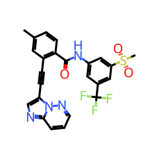 Cc1ccc(C(=O)Nc2cc(C(F)(F)F)cc(S(C)(=O)=O)c2)c(C#Cc2cnc3cccnn23)c1